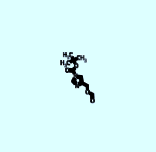 CC(C)(C)OC(=O)n1cnc(COC=O)c1